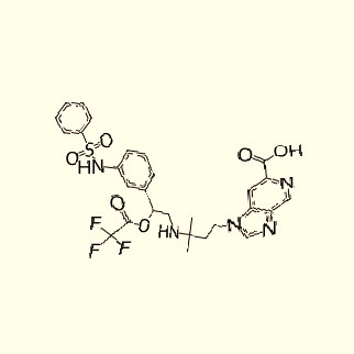 CC(C)(CCn1cnc2cnc(C(=O)O)cc21)NCC(OC(=O)C(F)(F)F)c1cccc(NS(=O)(=O)c2ccccc2)c1